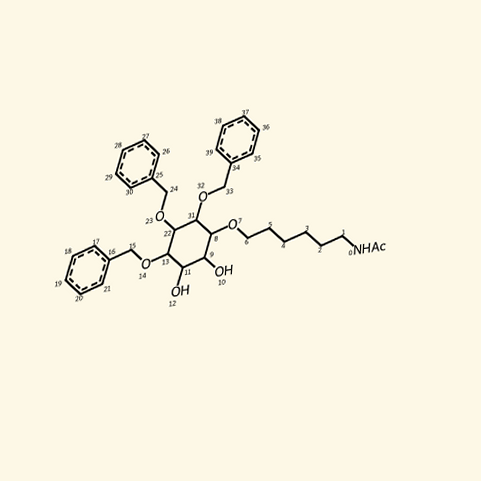 CC(=O)NCCCCCCOC1C(O)C(O)C(OCc2ccccc2)C(OCc2ccccc2)C1OCc1ccccc1